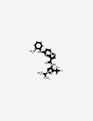 CC(C)n1cc(NC(=O)c2cnn3ccc(NC4CCCC[C@@H]4N)nc23)c(C(F)(F)F)n1